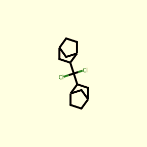 ClC(Cl)(C1CC2CCC1C2)C1CC2CCC1C2